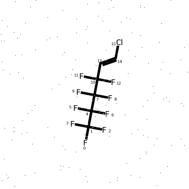 FC(F)(F)C(F)(F)C(F)(F)C(F)(F)/C=C/Cl